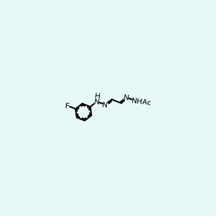 CC(=O)N/N=C/C=N/Nc1cccc(F)c1